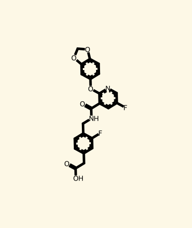 O=C(O)Cc1ccc(CNC(=O)c2cc(F)cnc2Oc2ccc3c(c2)OCO3)c(F)c1